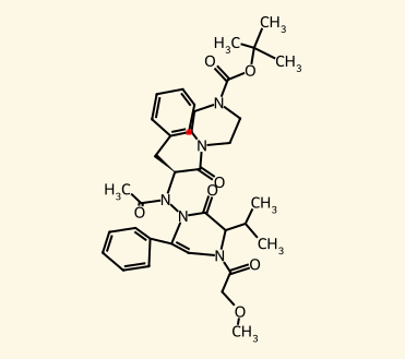 COCC(=O)N1C=C(c2ccccc2)N(N(C(C)=O)[C@@H](Cc2ccccc2)C(=O)N2CCN(C(=O)OC(C)(C)C)CC2)C(=O)C1C(C)C